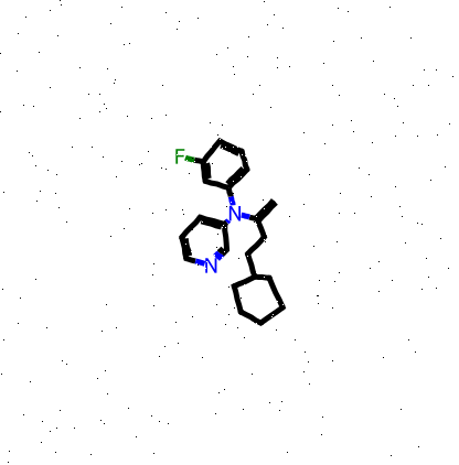 C=C(CCC1CCCCC1)N(c1cccnc1)c1cccc(F)c1